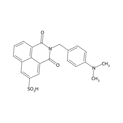 CN(C)c1ccc(CN2C(=O)c3cccc4cc(S(=O)(=O)O)cc(c34)C2=O)cc1